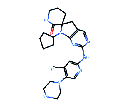 O=C1NCCCC12Cc1cnc(Nc3cc(C(F)(F)F)c(N4CCNCC4)cn3)nc1N2C1CCCC1